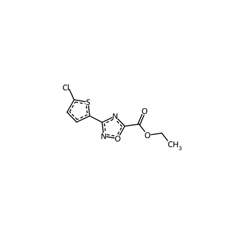 CCOC(=O)c1nc(-c2ccc(Cl)s2)no1